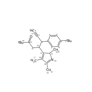 C#CC(c1ccc(C(C)(C)C)cc1)C(CC(=O)C(C)(C)C)C1=C(C)C(C)=NC1C